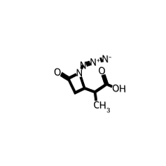 CC(C(=O)O)C1CC(=O)N1N=[N+]=[N-]